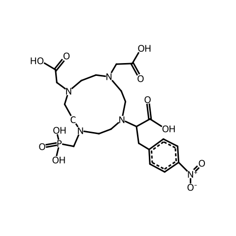 O=C(O)CN1CCN(CC(=O)O)CCN(C(Cc2ccc([N+](=O)[O-])cc2)C(=O)O)CCN(CP(=O)(O)O)CC1